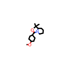 COC1CCC(C(=O)N2CCCCC2C(C)(C)C)CC1